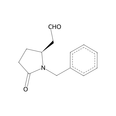 O=CC[C@@H]1CCC(=O)N1Cc1ccccc1